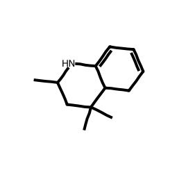 CC1CC(C)(C)C2CC=CC=C2N1